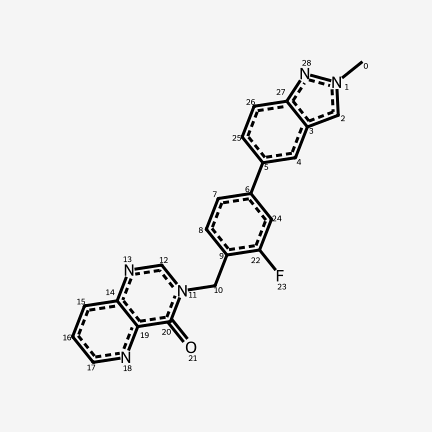 Cn1cc2cc(-c3ccc(Cn4cnc5cccnc5c4=O)c(F)c3)ccc2n1